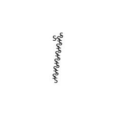 S=S=S=S=S=S=S=S=S=S=S=S(=S)=S